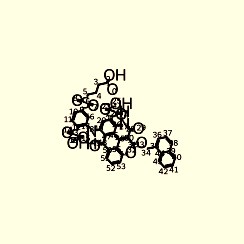 O=C(O)CCCS(=O)(=O)c1ccc(S(=O)(=O)O)c(Nc2cc(S(=O)(=O)O)c3[nH]c(=O)c(C(=O)OCc4cccc5ccccc45)c4c3c2C(=O)c2ccccc2-4)c1